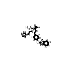 CN(CCCn1ncnn1)C1(CCc2ccc(Oc3nc4ccccc4s3)cc2)CC1